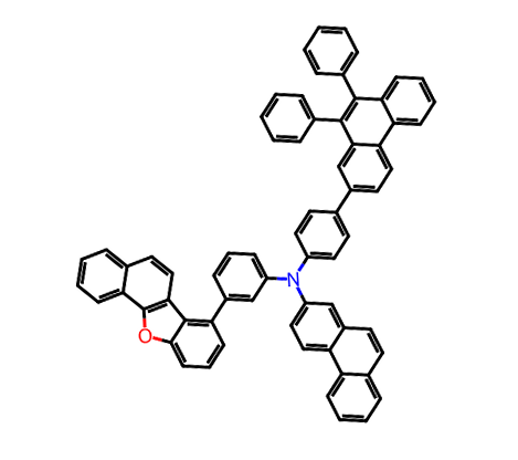 c1ccc(-c2c(-c3ccccc3)c3cc(-c4ccc(N(c5cccc(-c6cccc7oc8c9ccccc9ccc8c67)c5)c5ccc6c(ccc7ccccc76)c5)cc4)ccc3c3ccccc23)cc1